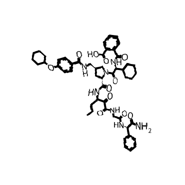 CCCC(NC(=O)[C@@H]1C[C@@H](CNC(=O)c2ccc(OC3CCCCC3)cc2)CN1C(=O)[C@@H](NC(=O)c1ccccc1C(=O)O)C1CCCCC1)C(=O)C(=O)NCC(=O)N[C@H](C(N)=O)c1ccccc1